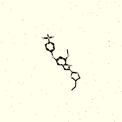 CCC1CN=C(c2cc3cc(Oc4ccc(S(C)(=O)=O)cc4)cc(OC)c3[nH]2)S1